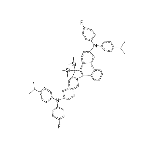 CC(C)c1ccc(N(c2ccc(F)cc2)c2ccc3cc4c(cc3c2)C([Si](C)(C)C)([Si](C)(C)C)c2c-4c3ccccc3c3cc(N(c4ccc(F)cc4)c4ccc(C(C)C)cc4)ccc23)cc1